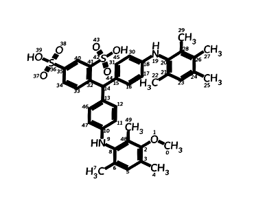 COc1c(C)cc(C)c(Nc2ccc(C(c3ccc(Nc4c(C)cc(C)c(C)c4C)cc3)c3ccc(S(=O)(=O)O)cc3S(=O)(=O)O)cc2)c1C